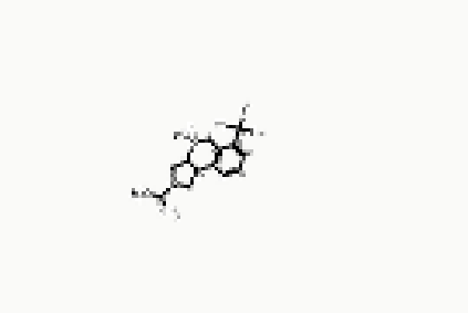 CC(C)N1CC2OCc3c(cccc3C(F)(F)F)C2C1.Cl